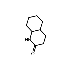 O=C1CCC2CCCCC2N1